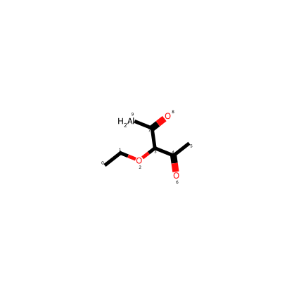 CCOC(C(C)=O)[C](=O)[AlH2]